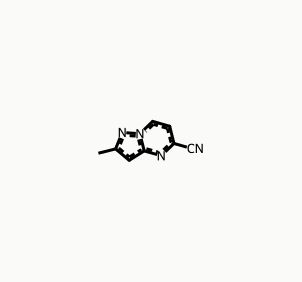 Cc1cc2nc(C#N)ccn2n1